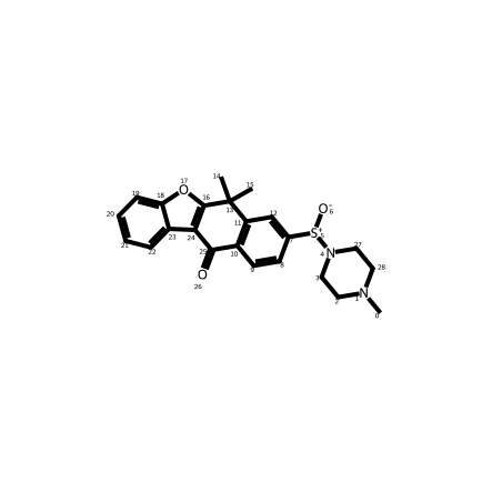 CN1CCN([S+]([O-])c2ccc3c(c2)C(C)(C)c2oc4ccccc4c2C3=O)CC1